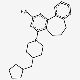 Nc1nc2c(c(N3CCC(CN4CCCC4)CC3)n1)CCCc1ccccc1-2